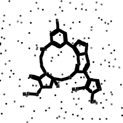 CO[C@@H]1C[C@H]2COc3nc4c(cnn4cc3-c3cnn(C)c3C)-c3cc(F)cc(c3)NCCN2C1=O